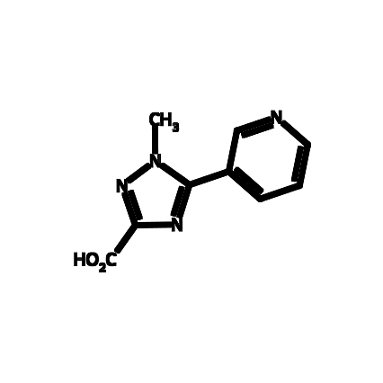 Cn1nc(C(=O)O)nc1-c1cccnc1